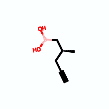 C#CC[C@H](C)CB(O)O